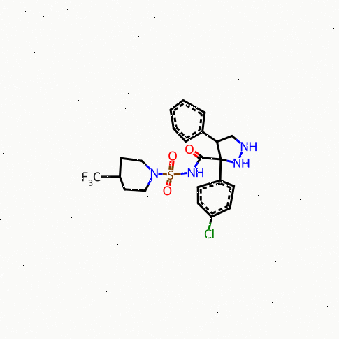 O=C(NS(=O)(=O)N1CCC(C(F)(F)F)CC1)C1(c2ccc(Cl)cc2)NNCC1c1ccccc1